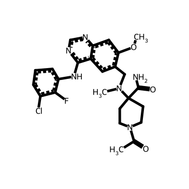 COc1cc2ncnc(Nc3cccc(Cl)c3F)c2cc1CN(C)C1(C(N)=O)CCN(C(C)=O)CC1